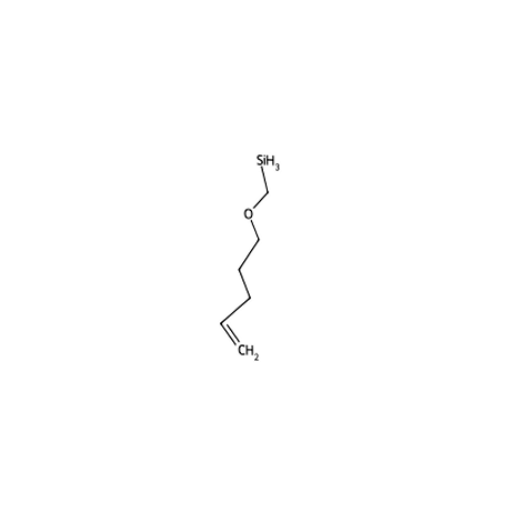 C=CCCCOC[SiH3]